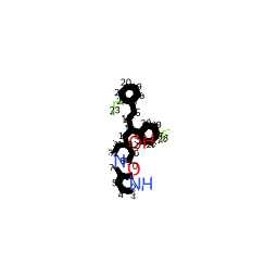 O=c1[nH]cccc1CN1CCC(O)(CC(CCc2ccccc2F)c2ccc(F)cc2)CC1